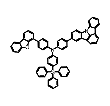 c1ccc([Si](c2ccccc2)(c2ccccc2)c2ccc(N(c3ccc(-c4ccc5c(c4)c4cccc6c7ccccc7n5c64)cc3)c3ccc(-c4cccc5c4oc4ccccc45)cc3)cc2)cc1